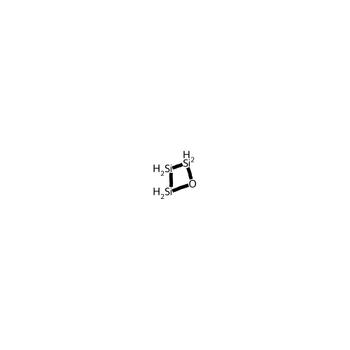 O1[SiH2][SiH2][SiH2]1